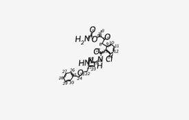 C[C@H](OC(N)=O)C(=O)Cc1cccc(Cl)c1C(=O)Nc1cc(COCc2ccccc2)[nH]n1